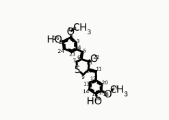 COc1cc(/C=C2\CSC/C(=C\c3ccc(O)c(OC)c3)C2=O)ccc1O